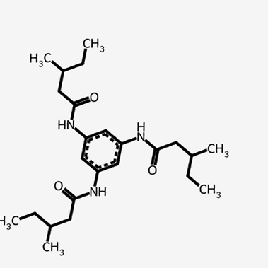 CCC(C)CC(=O)Nc1cc(NC(=O)CC(C)CC)cc(NC(=O)CC(C)CC)c1